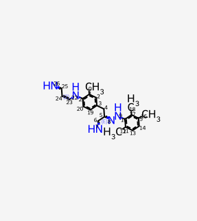 Cc1cc(C/C(C=N)=N\Nc2c(C)ccc(C)c2C)ccc1N/C=C\C=N